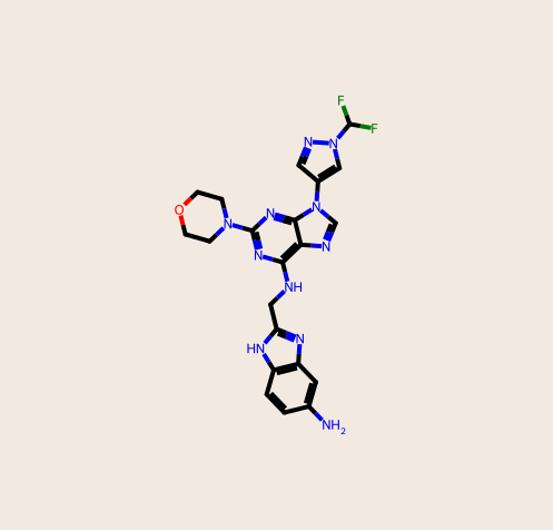 Nc1ccc2[nH]c(CNc3nc(N4CCOCC4)nc4c3ncn4-c3cnn(C(F)F)c3)nc2c1